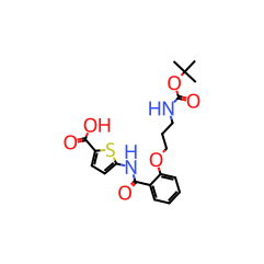 CC(C)(C)OC(=O)NCCCOc1ccccc1C(=O)Nc1ccc(C(=O)O)s1